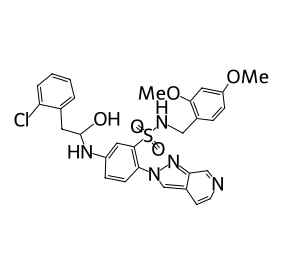 COc1ccc(CNS(=O)(=O)c2cc(NC(O)Cc3ccccc3Cl)ccc2-n2cc3ccncc3n2)c(OC)c1